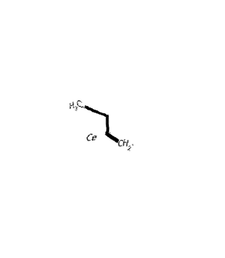 [CH2]CCC.[Ce]